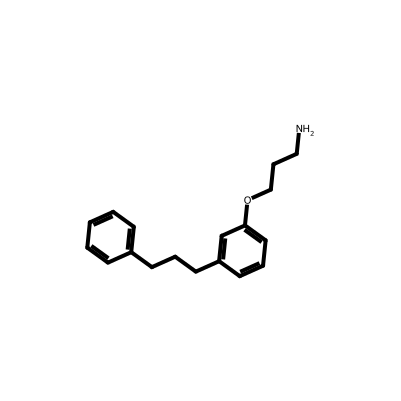 NCCCOc1cccc(CCCc2ccccc2)c1